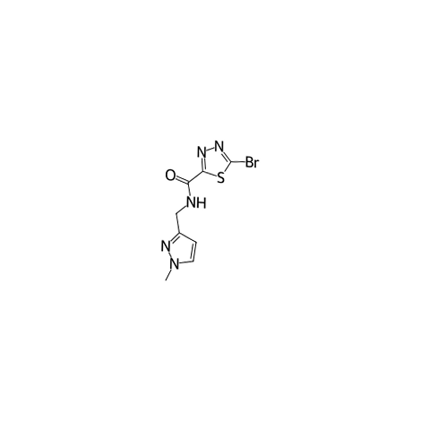 Cn1ccc(CNC(=O)c2nnc(Br)s2)n1